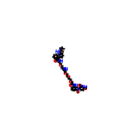 O=C1CCC(N2Cc3c(NC(=O)COCCOCCOCCNCCOCCNC(=O)C4(Cc5cccc(Nc6nccs6)n5)CCCCC4)cccc3C2=O)C(=O)N1